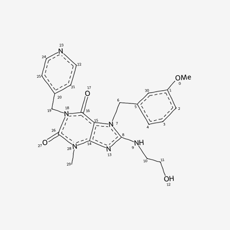 COc1cccc(Cn2c(NCCO)nc3c2c(=O)n(Cc2ccncc2)c(=O)n3C)c1